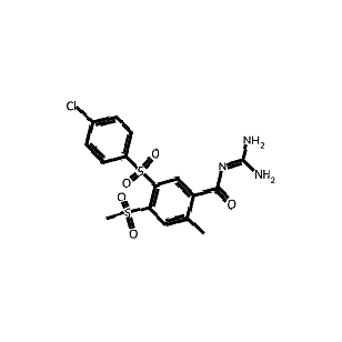 Cc1cc(S(C)(=O)=O)c(S(=O)(=O)c2ccc(Cl)cc2)cc1C(=O)N=C(N)N